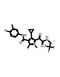 Cc1cc(NC(=O)c2c(C3CC3)c(C(=O)C(=O)N[C@H](C)C(F)(F)F)n(C)c2C)ccc1F